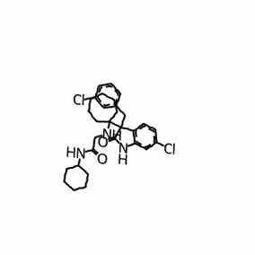 O=C(CNC1(C2(Cc3cccc(Cl)c3)C(=O)Nc3cc(Cl)ccc32)CCCCCC1)NC1CCCCC1